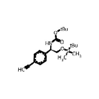 C#Cc1ccc([C@H](CO[Si](C)(C)C(C)(C)C)NC(=O)OC(C)(C)C)cc1